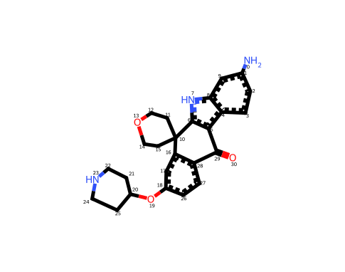 Nc1ccc2c3c([nH]c2c1)C1(CCOCC1)c1cc(OC2CCNCC2)ccc1C3=O